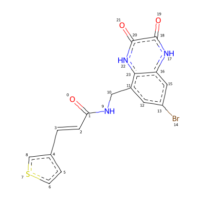 O=C(C=Cc1ccsc1)NCc1cc(Br)cc2[nH]c(=O)c(=O)[nH]c12